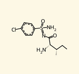 CC[C@H](C)[C@H](N)C(=O)N=S(N)(=O)c1ccc(Cl)cc1